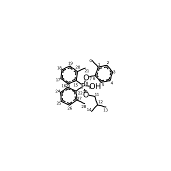 Cc1ccccc1OP(O)(OCC(C)C)(c1ccccc1C)c1ccccc1C